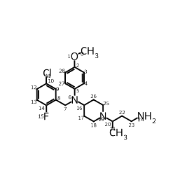 COc1ccc(N(Cc2cc(Cl)ccc2F)C2CCN(C(C)CCN)CC2)cc1